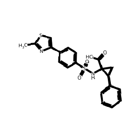 Cc1nc(-c2ccc(S(=O)(=O)NC3(C(=O)O)CC3c3ccccc3)cc2)cs1